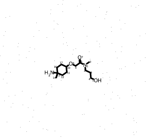 CN(CCCO)C(=O)COC1CCC(C)(N)CC1